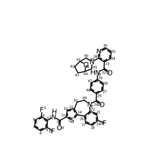 O=C(Nc1c(F)cccc1F)c1cc2c(s1)-c1ccc(F)cc1N(C(=O)c1ccc(NC(=O)c3cccnc3N3CC4CCC(C3)O4)cc1)CC2